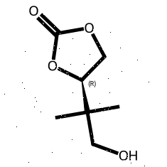 CC(C)(CO)[C@@H]1COC(=O)O1